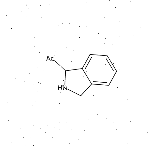 CC(=O)C1NCc2ccccc21